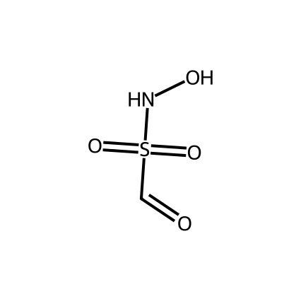 O=CS(=O)(=O)NO